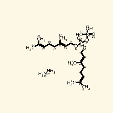 CC(C)=CCC/C(C)=C/COP(=O)(OC/C=C(\C)CCC=C(C)C)OP(=O)(O)O.N.N